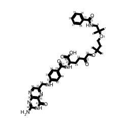 CC(C)(CCOC(C)(C)CNC(=O)c1ccccc1)OCC(=O)CCC(NC(=O)c1ccc(NCc2cnc3nc(N)[nH]c(=O)c3n2)cc1)C(=O)O